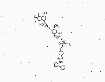 COc1cc(NC(=O)CCCN(C)C(=O)CCN2CCC(OC(=O)Nc3ccccc3-c3ccccc3)CC2)c(Cl)cc1CCNC[C@@H](O)c1ccc(O)c2[nH]c(=O)ccc12